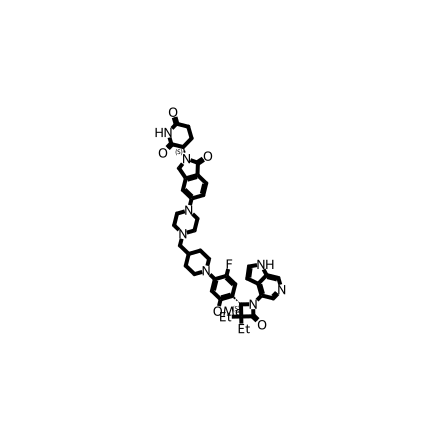 CCC1(CC)C(=O)N(c2cncc3[nH]ccc23)[C@H]1c1cc(F)c(N2CCC(CN3CCN(c4ccc5c(c4)CN([C@H]4CCC(=O)NC4=O)C5=O)CC3)CC2)cc1OC